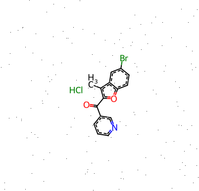 Cc1c(C(=O)c2cccnc2)oc2ccc(Br)cc12.Cl